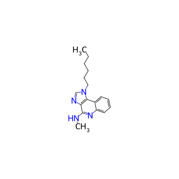 CCCCCCn1cnc2c(NC)nc3ccccc3c21